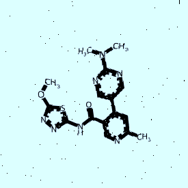 COc1nnc(NC(=O)c2cnc(C)cc2-c2cnc(N(C)C)nc2)s1